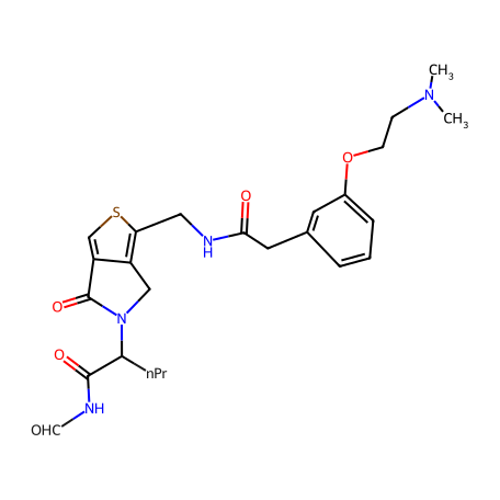 CCCC(C(=O)NC=O)N1Cc2c(csc2CNC(=O)Cc2cccc(OCCN(C)C)c2)C1=O